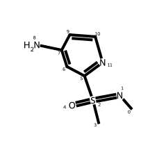 CN=S(C)(=O)c1cc(N)ccn1